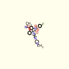 CCOCOc1ccccc1C1(N2CC3(CN(C4CCN(C)CC4)C3)C2)C(=O)N(S(=O)(=O)c2ccc(F)cc2)c2ccc(C#N)cc21